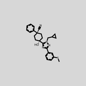 CSc1cccc(-c2nc([C@]3(O)CC[C@@](C#N)(c4ccccc4)CC3)n(CC3CC3)n2)c1